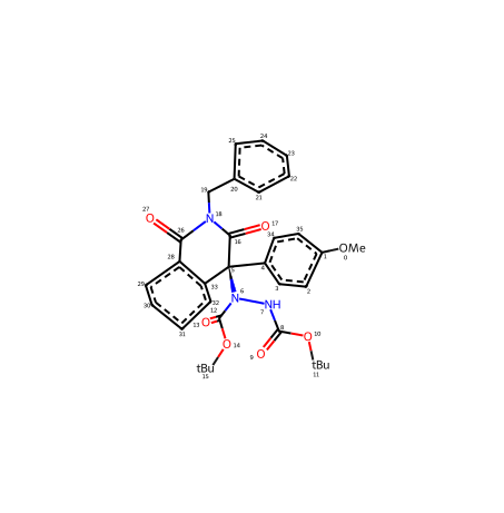 COc1ccc([C@@]2(N(NC(=O)OC(C)(C)C)C(=O)OC(C)(C)C)C(=O)N(Cc3ccccc3)C(=O)c3ccccc32)cc1